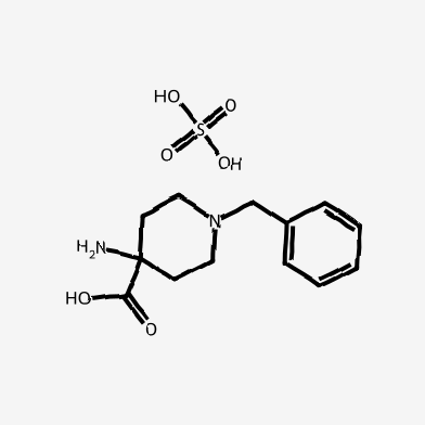 NC1(C(=O)O)CCN(Cc2ccccc2)CC1.O=S(=O)(O)O